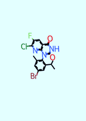 Cc1cc(Br)cc(C(C)C)c1-n1c(=O)[nH]c(=O)c2cc(F)c(Cl)nc21